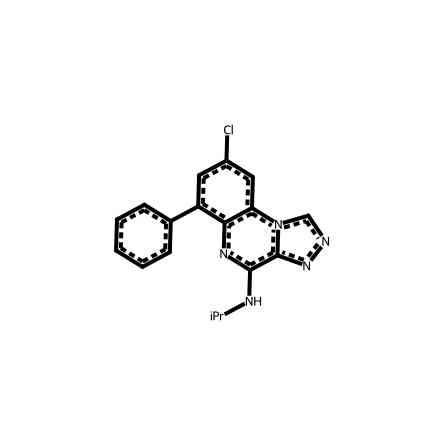 CC(C)Nc1nc2c(-c3ccccc3)cc(Cl)cc2n2cnnc12